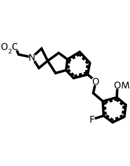 COc1cccc(F)c1COc1ccc2c(c1)CC1(C2)CN(CC(=O)O)C1